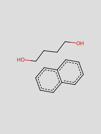 OCCCCO.c1ccc2ccccc2c1